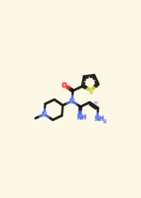 CN1CCC(N(C(=N)/C=C\N)C(=O)c2cccs2)CC1